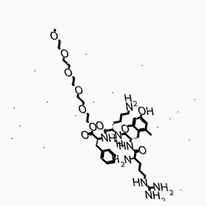 COCCOCCOCCOCCOCCOC(=O)[C@H](Cc1ccccc1)NC(=O)[C@H](CCCCN)NC(=O)[C@H](Cc1c(C)cc(O)cc1C)NC(=O)[C@H](N)CCCNC(N)N